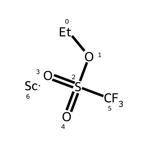 CCOS(=O)(=O)C(F)(F)F.[Sc]